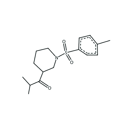 Cc1ccc(S(=O)(=O)N2CCCC(C(=O)C(C)C)C2)cc1